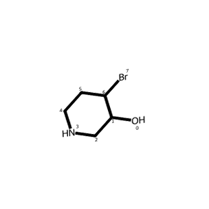 OC1CNCCC1Br